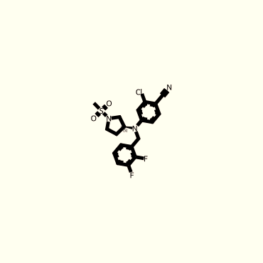 CS(=O)(=O)N1CC[C@H](N(Cc2cccc(F)c2F)c2ccc(C#N)c(Cl)c2)C1